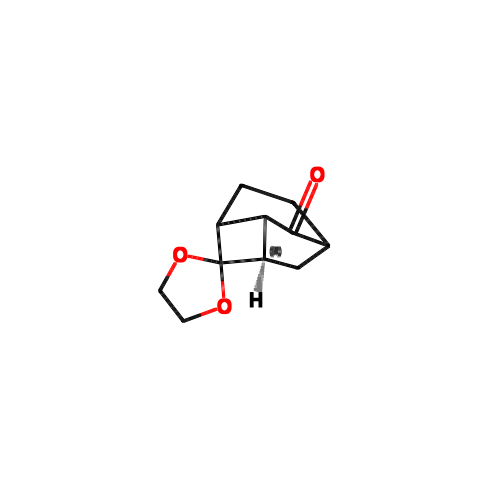 O=C1C2CCC3C1[C@@H](C2)C31OCCO1